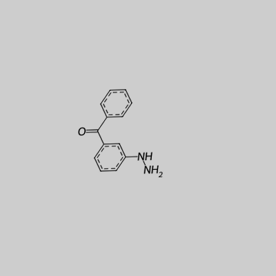 NNc1cccc(C(=O)c2ccccc2)c1